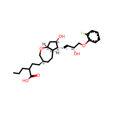 CCCC(CC[C@@H]1CC[C@@H]2[C@@H](/C=C/[C@@H](O)COc3ccccc3F)[C@H](O)C[C@@H]2OC1)C(=O)O